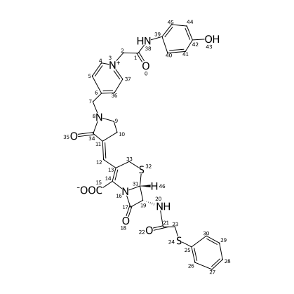 O=C(C[n+]1ccc(CN2CCC(=CC3=C(C(=O)[O-])N4C(=O)[C@@H](NC(=O)CSc5ccccc5)[C@H]4SC3)C2=O)cc1)Nc1ccc(O)cc1